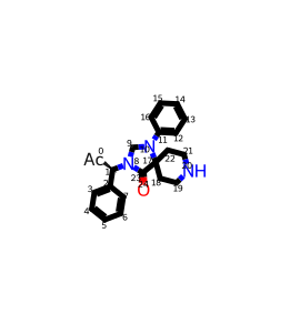 CC(=O)[C@H](c1ccccc1)N1CN(c2ccccc2)C2(CCNCC2)C1=O